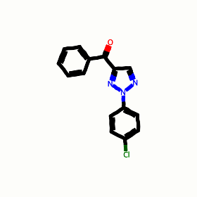 O=C(c1ccccc1)c1cnn(-c2ccc(Cl)cc2)n1